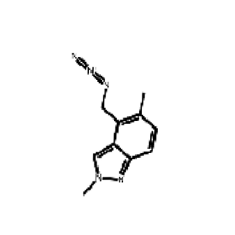 Cc1ccc2nn(C)cc2c1CN=[N+]=[N-]